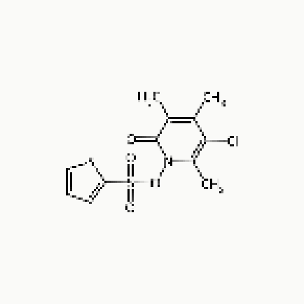 Cc1c(Cl)c(C)n(OS(=O)(=O)c2cccs2)c(=O)c1C